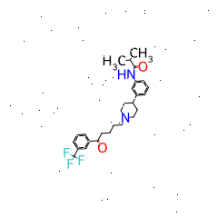 CC(C)C(=O)Nc1cccc(C2CCN(CCCCC(=O)c3cccc(C(F)(F)F)c3)CC2)c1